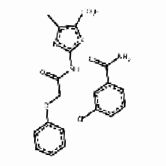 Cc1nc(NC(=O)COc2ccccc2)sc1C(=O)O.NC(=O)c1cccc(Cl)c1